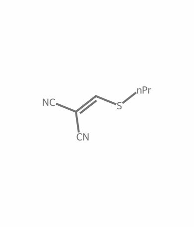 CCCSC=C(C#N)C#N